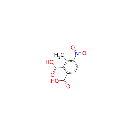 Cc1c([N+](=O)[O-])ccc(C(=O)O)c1C(=O)O